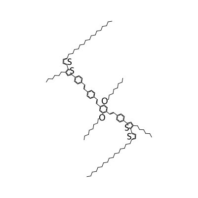 CCCCCCCCCCCCCCCCc1ccc(-c2sc(-c3ccc(/C=C/c4ccc(/C=C/c5cc(OCCCCCCCC)c(/C=C/c6ccc(-c7cc(CCCCCC)c(-c8ccc(CCCCCCCCCCCCCCCC)s8)s7)cc6)cc5OCCCCCCCC)cc4)cc3)cc2CCCCCC)s1